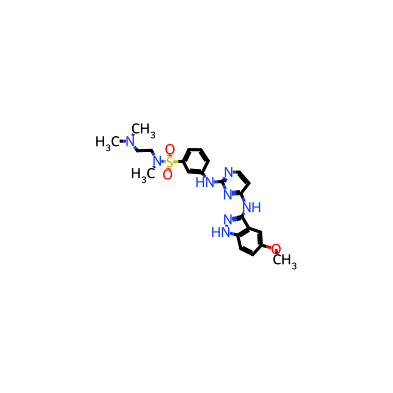 COc1ccc2[nH]nc(Nc3ccnc(Nc4cccc(S(=O)(=O)N(C)CCN(C)C)c4)n3)c2c1